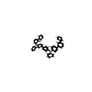 C1=CC2Oc3c(cccc3-n3c4ccccc4c4cc(-c5ccc(N(c6ccccc6)c6ccc(-c7cccc(-c8ccccc8)c7)cc6)cc5)ccc43)C2C=C1